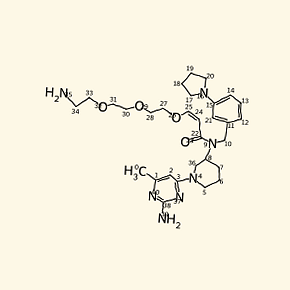 Cc1cc(N2CCCC(N(Cc3cccc(N4CCCC4)c3)C(=O)C=COCCOCCOCCN)C2)nc(N)n1